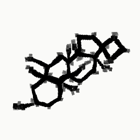 CO[C@H]1CC[C@@]2(C)[C@H](C1)C(O)C[C@@H]1[C@@H]2CC[C@@]2(C)[C@H]1CCC21OCO1